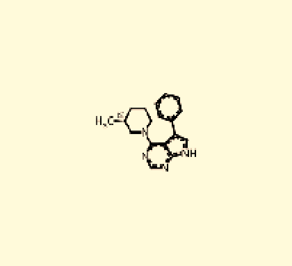 C[C@H]1CCCN(c2ncnc3[nH]cc(-c4ccccc4)c23)C1